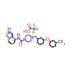 O=C(NC1=CC=CN2SNC=C12)N1CCN(Cc2cccc(Oc3cccc(C(F)(F)F)c3)c2)CC1.O=C(O)C(F)(F)F